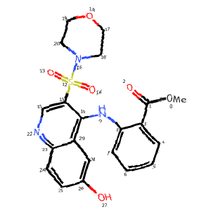 COC(=O)c1ccccc1Nc1c(S(=O)(=O)N2CCOCC2)cnc2ccc(O)cc12